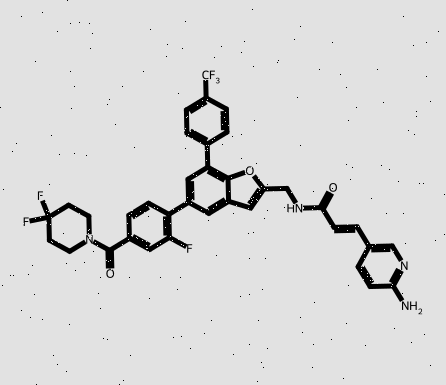 Nc1ccc(/C=C/C(=O)NCc2cc3cc(-c4ccc(C(=O)N5CCC(F)(F)CC5)cc4F)cc(-c4ccc(C(F)(F)F)cc4)c3o2)cn1